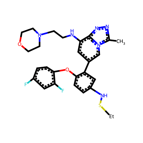 CCSNc1ccc(Oc2ccc(F)cc2F)c(-c2cc(NCCN3CCOCC3)c3nnc(C)n3c2)c1